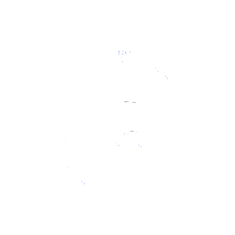 CC(Oc1cc(-n2cnc3cc(-c4cnn(C)c4)ccc32)sc1C(N)=O)c1cccc(OC2CCNCC2)c1Cl